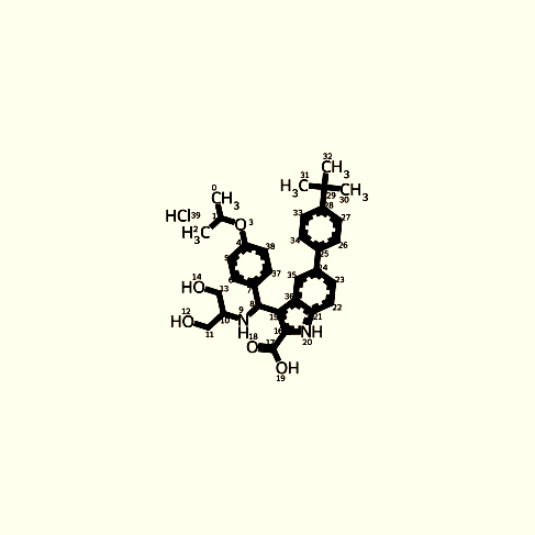 CC(C)Oc1ccc(C(NC(CO)CO)c2c(C(=O)O)[nH]c3ccc(-c4ccc(C(C)(C)C)cc4)cc23)cc1.Cl